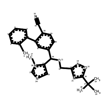 Cc1ccccc1-c1cc(C(OCc2noc(C(C)(C)C)n2)c2cncn2C)ccc1C#N